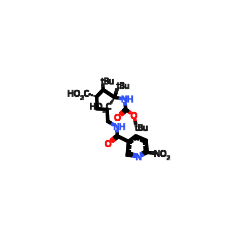 CC(C)(C)OC(=O)N[C@@](C(=O)O)(C([C@H](CCCNC(=O)c1ccc([N+](=O)[O-])nc1)C(=O)O)C(C)(C)C)C(C)(C)C